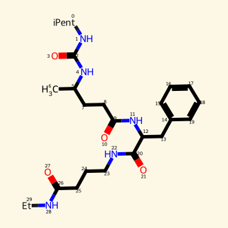 CCCC(C)NC(=O)NC(C)CCC(=O)NC(Cc1ccccc1)C(=O)NCCCC(=O)NCC